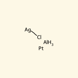 [AlH3].[Cl][Ag].[Pt]